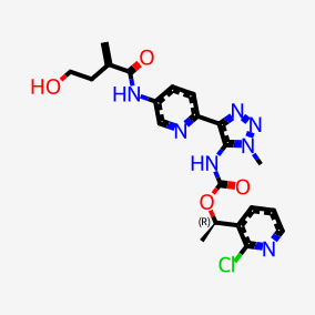 C=C(CCO)C(=O)Nc1ccc(-c2nnn(C)c2NC(=O)O[C@H](C)c2cccnc2Cl)nc1